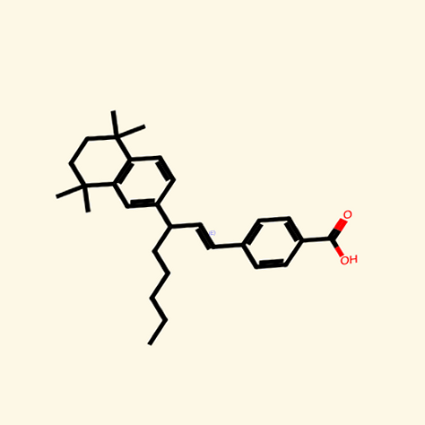 CCCCCC(/C=C/c1ccc(C(=O)O)cc1)c1ccc2c(c1)C(C)(C)CCC2(C)C